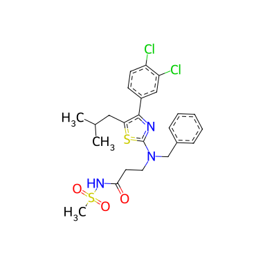 CC(C)Cc1sc(N(CCC(=O)NS(C)(=O)=O)Cc2ccccc2)nc1-c1ccc(Cl)c(Cl)c1